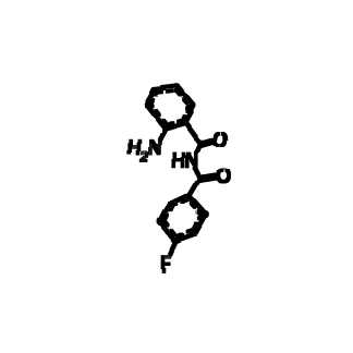 Nc1ccccc1C(=O)NC(=O)c1ccc(F)cc1